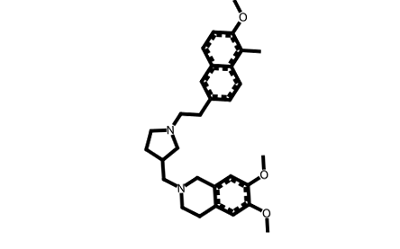 COc1cc2c(cc1OC)CN(CC1CCN(CCc3ccc4c(C)c(OC)ccc4c3)C1)CC2